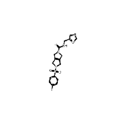 O=C(NCc1cnco1)N1CC2=C(C1)CN(S(=O)(=O)c1ccc(F)cc1)C2